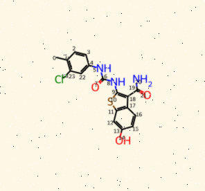 Cc1ccc(NC(=O)Nc2sc3cc(O)ccc3c2C(N)=O)cc1Cl